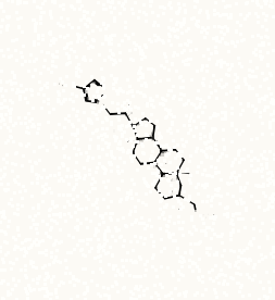 COC[C@@]1(O)CC[C@@]2(C)[C@H](CC[C@@H]3[C@@H]2CC[C@@]2(C)[C@H]3CC[C@]2(O)[C@H](C)Cn2cc(C#N)cn2)C1